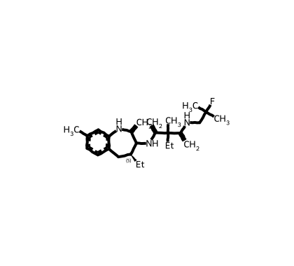 C=C1Nc2cc(C)ccc2C[C@H](CC)C1NC(=C)C(C)(CC)C(=C)NCC(C)(C)F